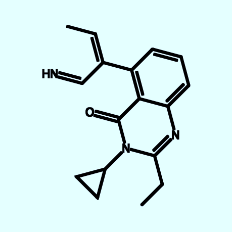 C/C=C(\C=N)c1cccc2nc(CC)n(C3CC3)c(=O)c12